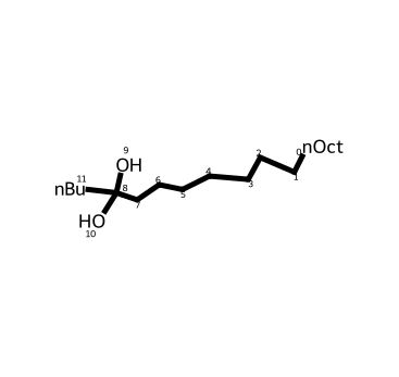 CCCCCCCCCCCCCCCC(O)(O)CCCC